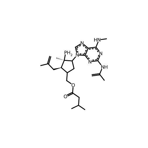 C=C(C)C[C@@H]1C(COC(=O)CC(C)C)CC(n2cnc3c(NC)nc(NC(=C)C)nc32)[C@]1(C)P